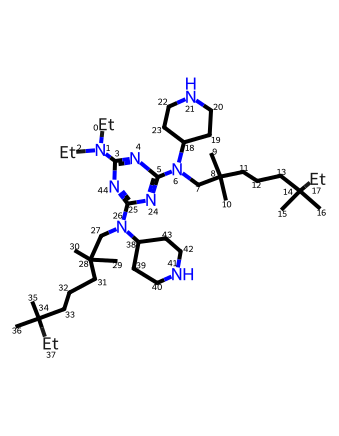 CCN(CC)c1nc(N(CC(C)(C)CCCC(C)(C)CC)C2CCNCC2)nc(N(CC(C)(C)CCCC(C)(C)CC)C2CCNCC2)n1